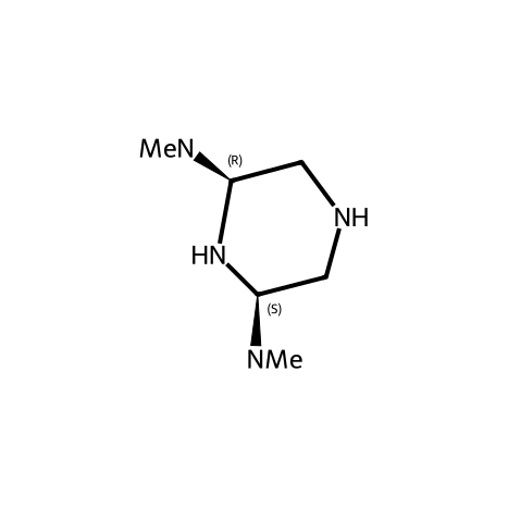 CN[C@H]1CNC[C@@H](NC)N1